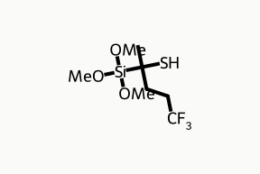 CO[Si](OC)(OC)C(C)(S)CCC(F)(F)F